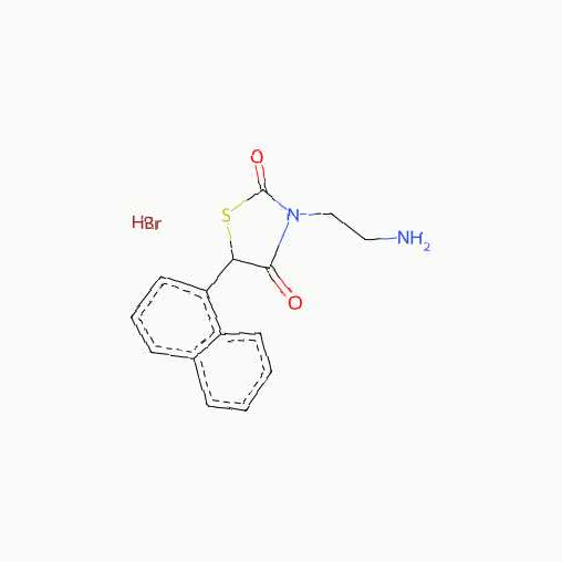 Br.NCCN1C(=O)SC(c2cccc3ccccc23)C1=O